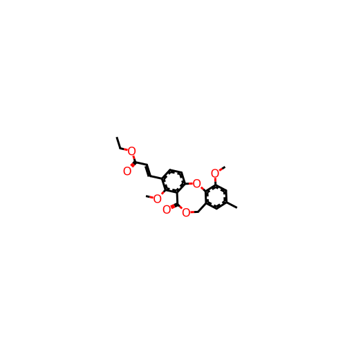 CCOC(=O)C=Cc1ccc2c(c1OC)C(=O)OCc1cc(C)cc(OC)c1O2